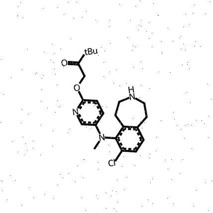 CN(c1ccc(OCC(=O)C(C)(C)C)nc1)c1c(Cl)ccc2c1CCNCC2